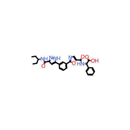 CCC(CC)NC(=O)c1cc(-c2cccc(-c3ncc(C(=O)N[C@H](C(=O)O)c4ccccc4)o3)c2)[nH]n1